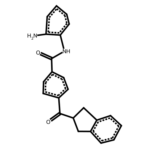 Nc1ccccc1NC(=O)c1ccc(C(=O)C2Cc3ccccc3C2)cc1